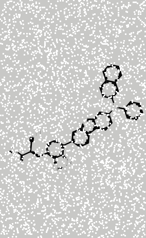 C#C/C(=C\c1ccc(-c2ccc3c(c2)sc2cc(N(c4ccccc4)c4ccc5ccccc5c4)ccc23)c2nsnc12)C(=O)N=O